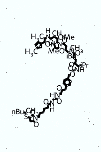 CCCCC(C)SC1CC(=O)N(CCCCCC(=O)NCC(=O)NCC(=O)Cc2ccc(COC(=O)NC(C(=O)CCC(=O)N(C)[C@@H]([C@@H](C)CC)[C@@H](CC(=O)N3CCC[C@H]3[C@H](OC)[C@H](C)C(=O)N[C@@H](C)[C@H](O)C3=CC(C)C=C3)OC)C(C)C)cc2)C1=O